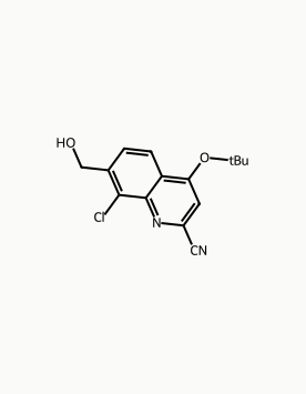 CC(C)(C)Oc1cc(C#N)nc2c(Cl)c(CO)ccc12